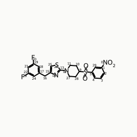 O=[N+]([O-])c1cccc(S(=O)(=O)C2CCN(c3nc(Cc4cc(F)cc(F)c4)cs3)CC2)c1